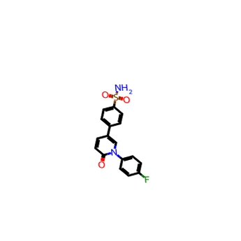 NS(=O)(=O)c1ccc(-c2ccc(=O)n(-c3ccc(F)cc3)c2)cc1